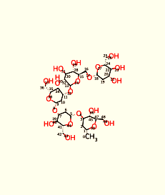 C[C@@H]1C[C@@H](O[C@H]2C[C@@H](O[C@H]3C[C@@H](O[C@@H]4O[C@H](CO[C@H]5C[C@@H](O)[C@H](O)[C@@H](CO)O5)[C@@H](O)[C@H](O)[C@H]4O)C[C@@H](CO)O3)[C@H](O)[C@@H](CO)O2)[C@H](O)[C@@H](CO)O1